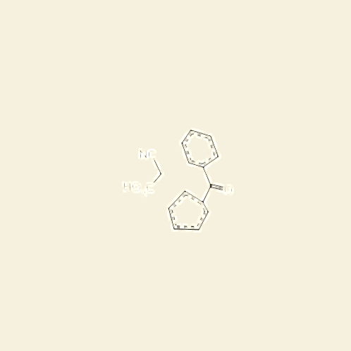 N#CCC(=O)O.O=C(c1ccccc1)c1ccccc1